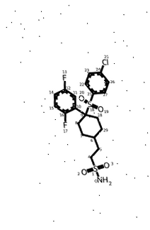 NS(=O)(=O)CCC1CCC(c2cc(F)ccc2F)(S(=O)(=O)c2ccc(Cl)cc2)CC1